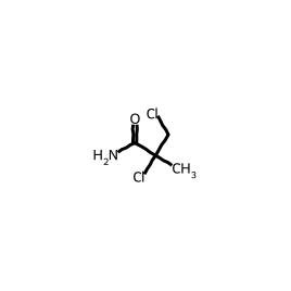 CC(Cl)(CCl)C(N)=O